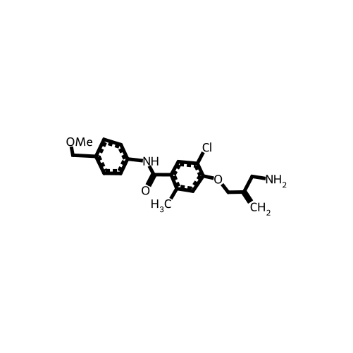 C=C(CN)COc1cc(C)c(C(=O)Nc2ccc(COC)cc2)cc1Cl